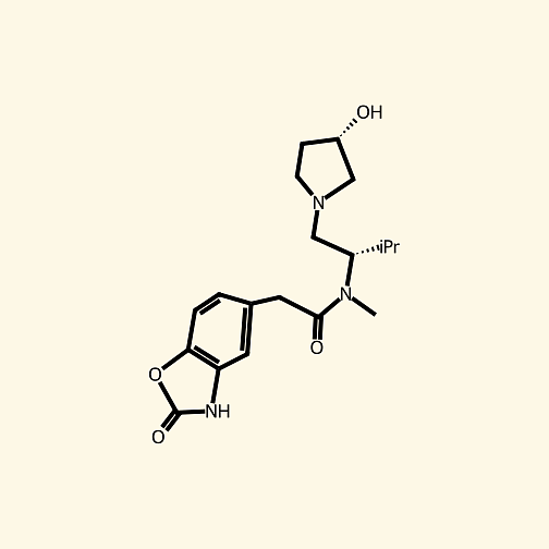 CC(C)[C@@H](CN1CC[C@H](O)C1)N(C)C(=O)Cc1ccc2oc(=O)[nH]c2c1